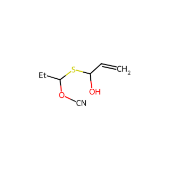 C=CC(O)SC(CC)OC#N